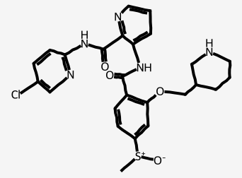 C[S+]([O-])c1ccc(C(=O)Nc2cccnc2C(=O)Nc2ccc(Cl)cn2)c(OCC2CCCNC2)c1